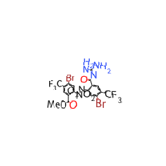 COC(=O)c1cc(C(F)(F)F)c(Br)cc1[N+](=O)[O-].NC(N)=NC(=O)c1cc(C(F)(F)F)c(Br)cc1[N+](=O)[O-]